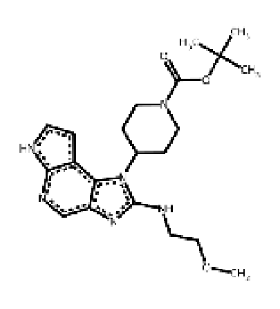 COCCNc1nc2cnc3[nH]ccc3c2n1C1CCN(C(=O)OC(C)(C)C)CC1